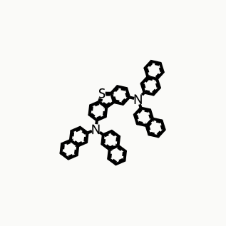 c1ccc2cc(N(c3ccc4ccccc4c3)c3ccc4sc5ccc(N(c6ccc7ccccc7c6)c6ccc7ccccc7c6)cc5c4c3)ccc2c1